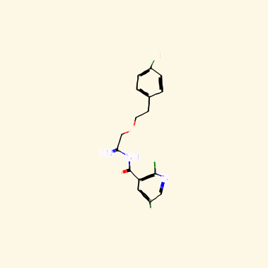 N=C(COCCc1ccc(Cl)cc1)NC(=O)c1cc(Cl)cnc1Cl